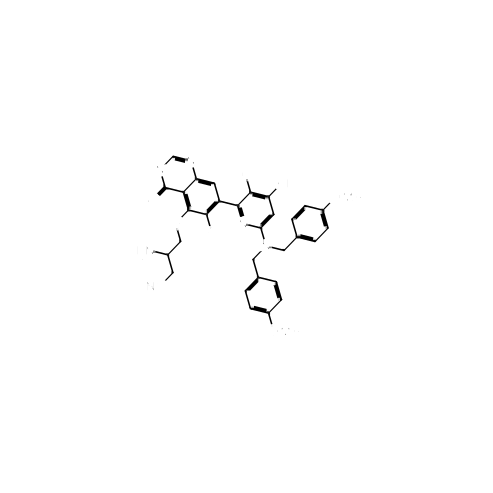 COc1ccc(CN(Cc2ccc(OC)cc2)c2cc(C)c(C(F)(F)F)c(-c3cc4nc[nH]c(=O)c4c(OCC(N)CC#N)c3Cl)n2)cc1